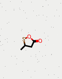 CC1CC(=O)OS1